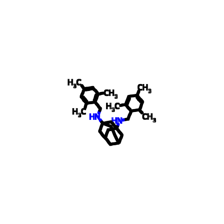 CC1=CC(C)C(CNC23CC4CC(CC(NCc5c(C)cc(C)cc5C)(C4)C2)C3)C(C)=C1